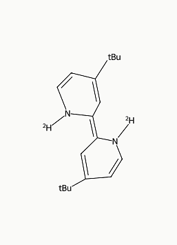 [2H]N1C=CC(C(C)(C)C)=CC1=C1C=C(C(C)(C)C)C=CN1[2H]